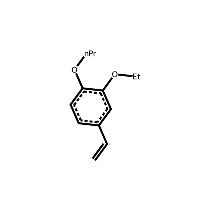 C=[C]c1ccc(OCCC)c(OCC)c1